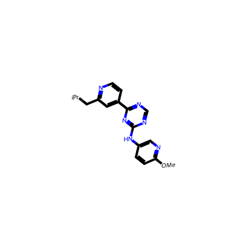 COc1ccc(Nc2ncnc(-c3ccnc(CC(C)C)c3)n2)cn1